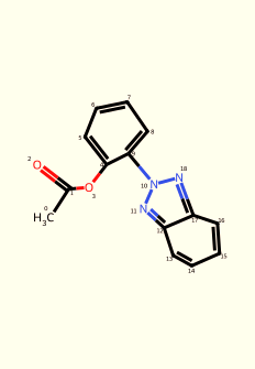 CC(=O)Oc1ccccc1-n1nc2ccccc2n1